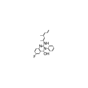 C=C/C=C(C)\C=C(/C)NC1=Nc2ccc(F)cc2C(O)N1c1ccccc1